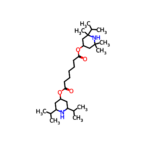 CC(C)C1CC(OC(=O)CCCCCC(=O)OC2CC(C)(C)NC(C)(C(C)C)C2)CC(C(C)C)N1